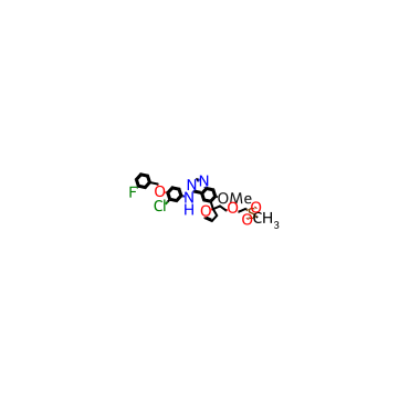 COc1cc2ncnc(Nc3ccc(OCc4cccc(F)c4)c(Cl)c3)c2cc1C1(CCOCCS(C)(=O)=O)CC=CO1